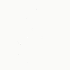 C=CC1([SiH]2CCCC2(C)C)C=CC=CC=N1